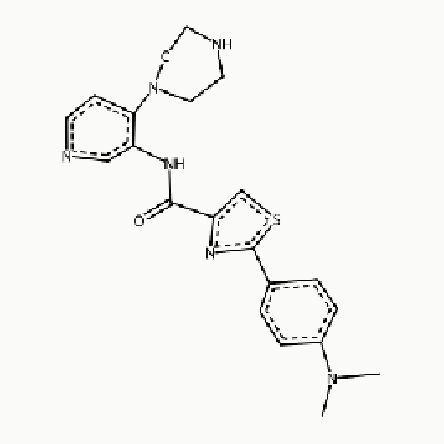 CN(C)c1ccc(-c2nc(C(=O)Nc3cnccc3N3CCNCC3)cs2)cc1